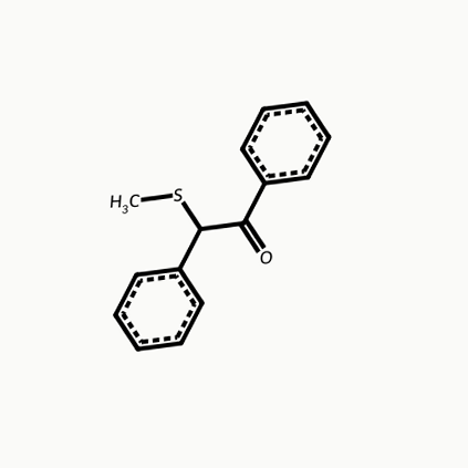 CSC(C(=O)c1ccccc1)c1ccccc1